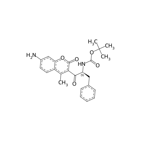 Cc1c(C(=O)[C@H](Cc2ccccc2)NC(=O)OC(C)(C)C)c(=O)oc2cc(N)ccc12